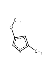 COc1csc(C)c1